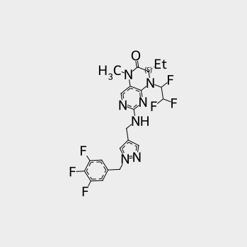 CC[C@H]1C(=O)N(C)c2cnc(NCc3cnn(Cc4cc(F)c(F)c(F)c4)c3)nc2N1C(F)C(F)F